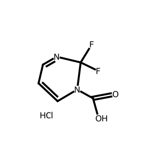 Cl.O=C(O)N1C=CC=NC1(F)F